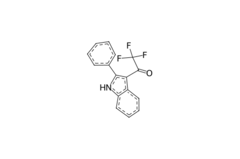 O=C(c1c(-c2ccccc2)[nH]c2ccccc12)C(F)(F)F